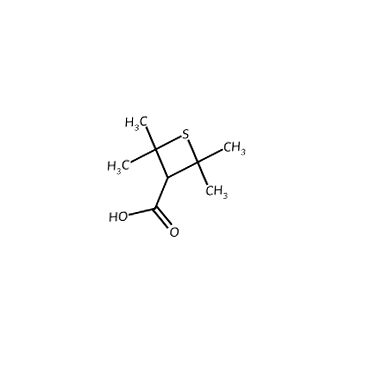 CC1(C)SC(C)(C)C1C(=O)O